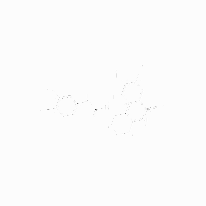 CN(C(=O)Nc1ccc(Cl)c(Cl)c1)[C@H]1COCc2[nH]c(=O)c3cc(F)c(F)cc3c21